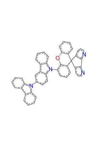 c1ccc2c(c1)Oc1c(-n3c4ccccc4c4cc(-n5c6ccccc6c6ccccc65)ccc43)cccc1C21c2cccnc2-c2ncccc21